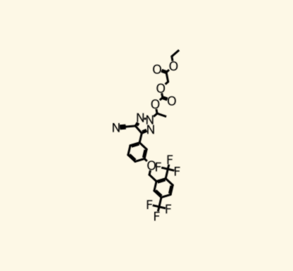 CCOC(=O)COC(=O)OC(C)n1nc(C#N)c(-c2cccc(OCc3cc(C(F)(F)F)ccc3C(F)(F)F)c2)n1